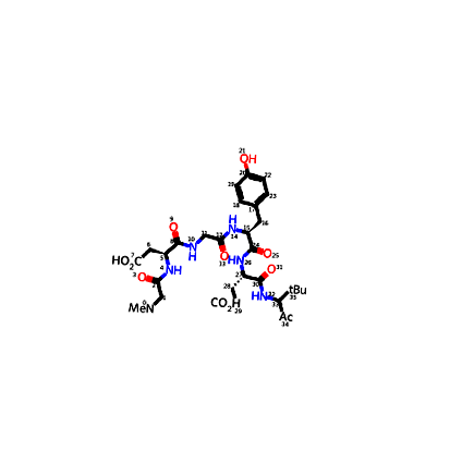 CNCC(=O)N[C@@H](CC(=O)O)C(=O)NCC(=O)N[C@@H](Cc1ccc(O)cc1)C(=O)N[C@@H](CC(=O)O)C(=O)NC(C(C)=O)C(C)(C)C